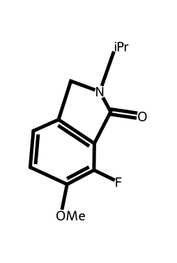 COc1ccc2c(c1F)C(=O)N(C(C)C)C2